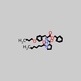 C=CCCCCC(=O)N1CCC[C@H]1C(=O)N[C@@H](Cc1ccc(OCCC=C)cc1)C(=O)OCc1ccccc1